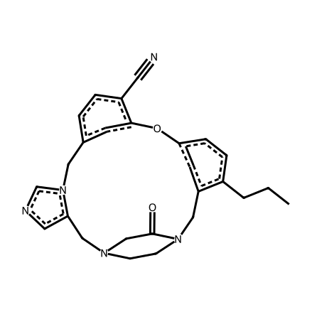 CCCc1ccc2cc1CN1CCN(CC1=O)Cc1cncn1Cc1ccc(C#N)c(c1)O2